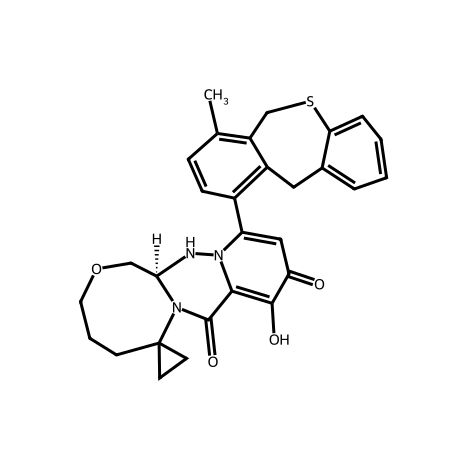 Cc1ccc(-c2cc(=O)c(O)c3n2N[C@@H]2COCCCC4(CC4)N2C3=O)c2c1CSc1ccccc1C2